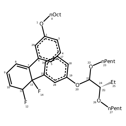 CCCCCCCCOc1cccc(C2=CC=CC(F)C2(F)c2cccc(OC(OCCCCC)[C@H](CC)OCCCCC)c2)c1